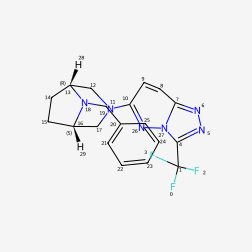 FC(F)(F)c1nnc2ccc(N3C[C@H]4CC[C@@H](C3)N4Cc3ccccc3)nn12